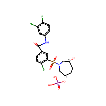 O=C(Nc1ccc(F)c(Cl)c1)c1ccc(F)c(S(=O)(=O)N2C[C@H](O)CC[C@H](OP(=O)(O)O)C2)c1